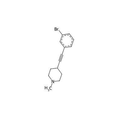 CN1CCC(C#Cc2cccc(Br)c2)CC1